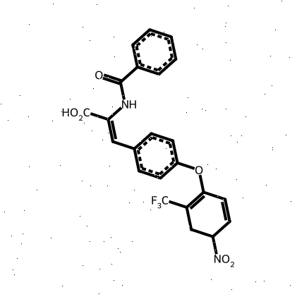 O=C(O)C(=Cc1ccc(OC2=C(C(F)(F)F)CC([N+](=O)[O-])C=C2)cc1)NC(=O)c1ccccc1